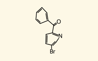 O=C(c1ccccc1)c1ccc(Br)cn1